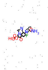 N#Cc1c(N2CC3CCOC3(CN)C2)c(F)cc2c(=O)c(OC(=O)O)cn(C3CC3)c12